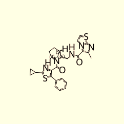 Cc1nc2sccn2c1C(=O)NC[C@@H]1[C@H]2CC[C@H](C2)N1C(=O)c1nc(C2CC2)sc1-c1ccccc1